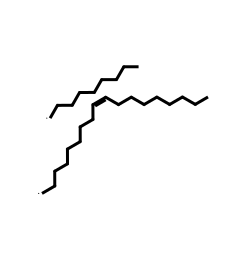 [CH2]CCCCCCC/C=C\CCCCCCCC.[CH2]CCCCCCCC